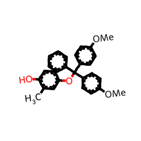 COc1ccc(C(Oc2ccc(O)c(C)c2)(c2ccccc2)c2ccc(OC)cc2)cc1